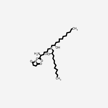 CCCCCCCCCC[C@@H](O)CN(CCCC[C@H](N)C(=O)ON1C(=O)CCC1=O)C[C@H](O)CCCCCCCCCC